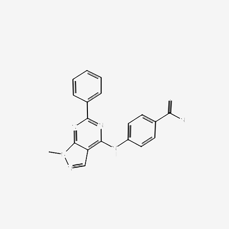 Cn1ncc2c(Nc3ccc(C(N)=O)cc3)nc(-c3ccccc3)nc21